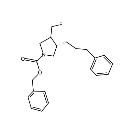 O=C(OCc1ccccc1)N1CC(CF)[C@H](CCCc2ccccc2)C1